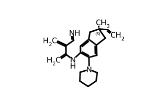 C=C[C@@]1(C)Cc2cc(NC(=C)C(=C)C=N)c(N3CCCCC3)cc2C1